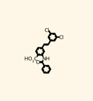 O=C(Nc1cc(C=Cc2cc(Cl)cc(Cl)c2)ccc1C(=O)O)c1ccccc1